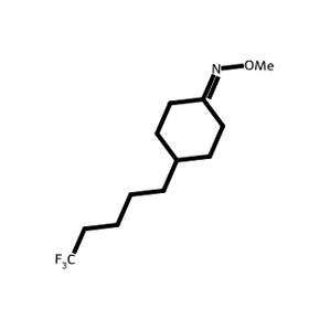 CON=C1CCC(CCCCC(F)(F)F)CC1